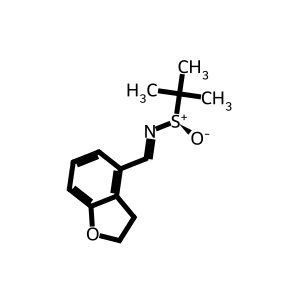 CC(C)(C)[S@@+]([O-])N=Cc1cccc2c1CCO2